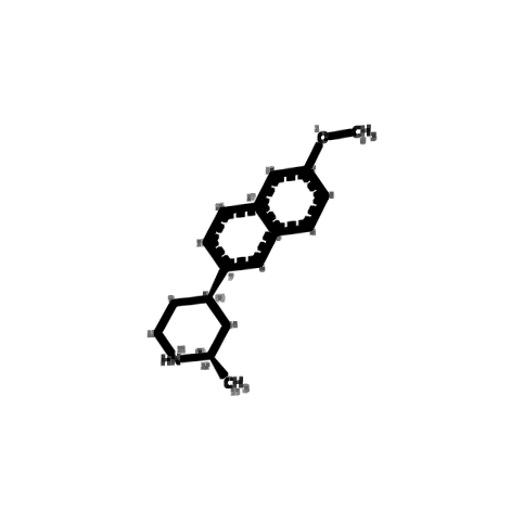 COc1ccc2cc([C@@H]3CCN[C@H](C)C3)ccc2c1